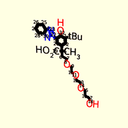 CC(C)(C)c1cc(C(C)(CCOCCOCCOCCCO)C(=O)O)cc(-n2nc3ccccc3n2)c1O